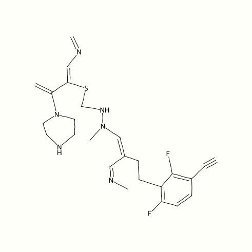 C#Cc1ccc(F)c(CCC(/C=N\C)=C/N(C)NCS/C(=C\N=C)C(=C)N2CCNCC2)c1F